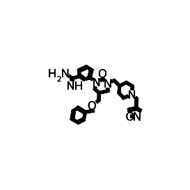 N=C(N)c1cccc(N2CC(COCc3ccccc3)CN(CC3CCN(Cc4cnoc4)CC3)C2=O)c1